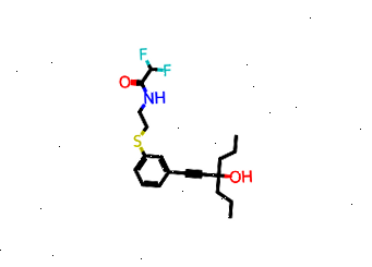 CCCC(O)(C#Cc1cccc(SCCNC(=O)C(F)F)c1)CCC